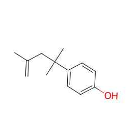 C=C(C)CC(C)(C)c1ccc(O)cc1